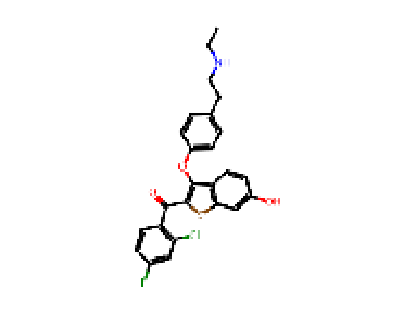 CCNCCc1ccc(Oc2c(C(=O)c3ccc(F)cc3Cl)sc3cc(O)ccc23)cc1